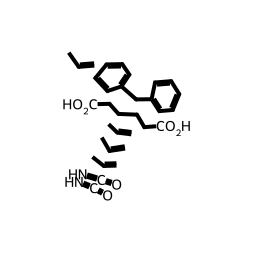 C=CC.C=CC.C=CC.C=CC.N=C=O.N=C=O.O=C(O)CCCCC(=O)O.c1ccc(Cc2ccccc2)cc1